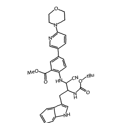 COC(=O)c1cc(-c2ccc(N3CCOCC3)nc2)ccc1NC(C#N)C(Cc1c[nH]c2ccccc12)NC(=O)OC(C)(C)C